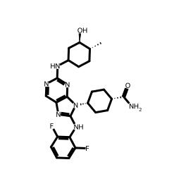 C[C@@H]1CCC(Nc2ncc3nc(Nc4c(F)cccc4F)n([C@H]4CC[C@@H](C(N)=O)CC4)c3n2)C[C@H]1O